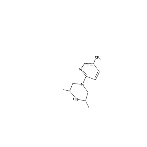 CC1CN(c2ccc(C(F)(F)F)cn2)CC(C)N1